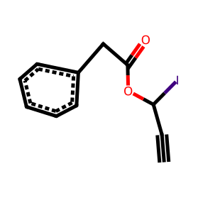 C#CC(I)OC(=O)Cc1ccccc1